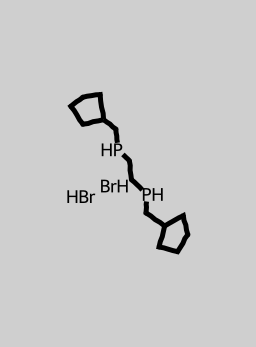 Br.Br.C1CCC(CPCCPCC2CCCC2)C1